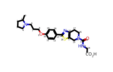 CC1CCCN1CCCOc1ccc(-c2nc3c(s2)CN(C(=O)NCC(=O)O)CC3)cc1